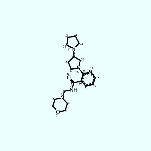 O=C(NCN1CCOCC1)c1cccnc1N1CCC(N2CCCC2)C1